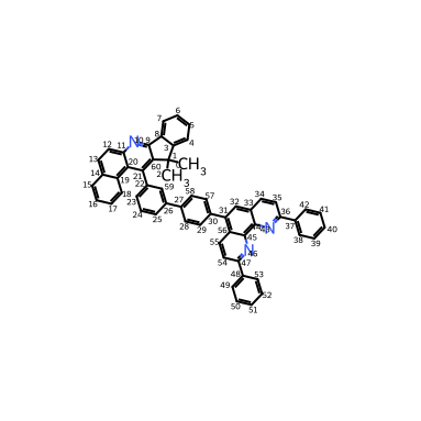 CC1(C)c2ccccc2-c2nc3ccc4ccccc4c3c(-c3cccc(-c4ccc(-c5cc6ccc(-c7ccccc7)nc6c6nc(-c7ccccc7)ccc56)cc4)c3)c21